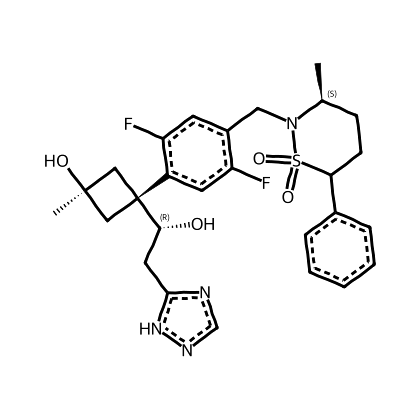 C[C@H]1CCC(c2ccccc2)S(=O)(=O)N1Cc1cc(F)c([C@]2([C@H](O)Cc3ncn[nH]3)C[C@](C)(O)C2)cc1F